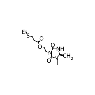 C=C1NC(=O)N(CCOC(=O)CCSCC)C(=O)N1